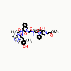 COC(=O)CCN1CCC(C(O)OC)(N(C(=O)CCNC(=O)CN2Cc3ccccc3C[C@H](NC(=O)[C@@H](C)N(C)C(=O)[C@@H](N)Cc3c(C)cc(O)cc3C)C2=O)c2ccccc2)CC1